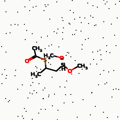 CO[SiH](CC(C)SC(C)=O)OC